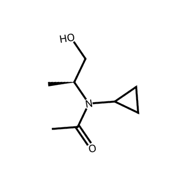 CC(=O)N(C1CC1)[C@@H](C)CO